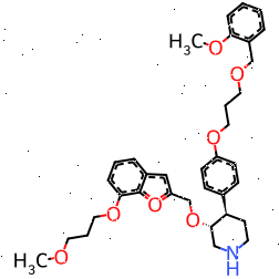 COCCCOc1cccc2cc(CO[C@H]3CNCC[C@@H]3c3ccc(OCCCOCc4ccccc4OC)cc3)oc12